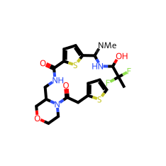 CNC(NC(O)C(C)(F)F)c1ccc(C(=O)NCC2COCCN2C(=O)Cc2cccs2)s1